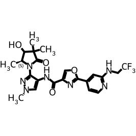 C[C@H]1C(O)C(C)(C)C(=O)N1c1nn(C)cc1NC(=O)c1coc(-c2ccnc(NCC(F)(F)F)c2)n1